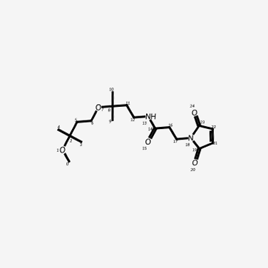 COC(C)(C)CCOC(C)(C)CCNC(=O)CCN1C(=O)C=CC1=O